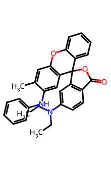 CCN(CC)c1ccc2c(c1)C1(OC2=O)c2ccccc2Oc2cc(C)c(Nc3ccccc3)cc21